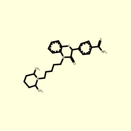 CC1CCCC(C)N1CCCCCN1C(=O)C(c2ccc(C(N)=S)cc2)Sc2ccccc21